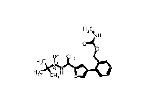 CNC(=O)OCc1ccccc1-c1csc(C(C)N[S@+]([O-])C(C)(C)C)c1